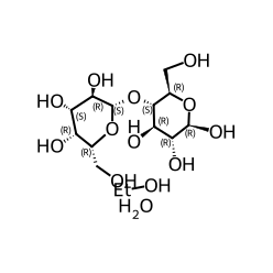 CCO.O.OC[C@H]1O[C@@H](O[C@H]2[C@H](O)[C@@H](O)[C@H](O)O[C@@H]2CO)[C@H](O)[C@@H](O)[C@H]1O